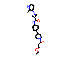 CCOCCC(=O)N1CCC(c2ccc(NC(=O)C3CN(c4cccnc4C)C3)cc2)CC1